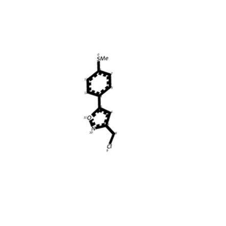 CSc1ccc(-c2cc(CCl)no2)cc1